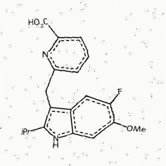 COc1cc2[nH]c(C(C)C)c(Cc3cccc(C(=O)O)n3)c2cc1F